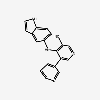 N#Cc1cncc(-c2cccnc2)c1Nc1ccc2[nH]ccc2c1